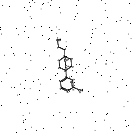 OCCC12CCC(c3cccc(O)c3)(CC1)CO2